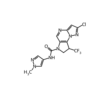 Cn1cc(NC(=O)N2CC(C(F)(F)F)c3c2cnc2cc(Cl)nn32)cn1